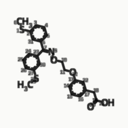 CSc1cccc(C(=NOCCOc2cccc(CC(=O)O)c2)c2cccc(SC)c2)c1